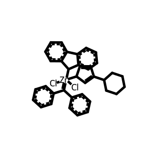 [Cl][Zr]([Cl])(=[C](c1ccccc1)c1ccccc1)([CH]1C=CC(C2CCCCC2)=C1)[CH]1c2ccccc2-c2ccccc21